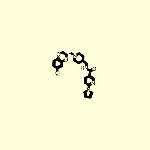 O=C(NCC1CCN(C[C@H]2COc3ccc(Cl)cc3O2)CC1)c1ccc(-n2cccc2)nc1